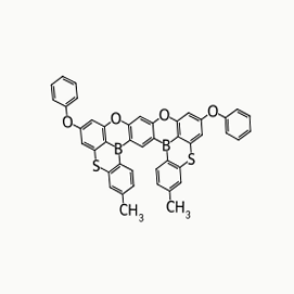 Cc1ccc2c(c1)Sc1cc(Oc3ccccc3)cc3c1B2c1cc2c(cc1O3)Oc1cc(Oc3ccccc3)cc3c1B2c1ccc(C)cc1S3